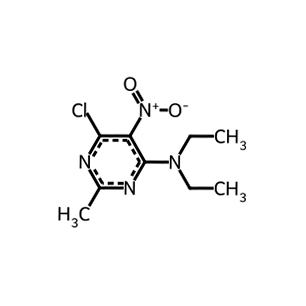 CCN(CC)c1nc(C)nc(Cl)c1[N+](=O)[O-]